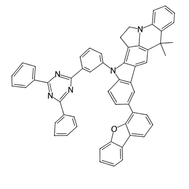 CC1(C)c2ccccc2N2CCc3c2c1cc1c2cc(-c4cccc5c4oc4ccccc45)ccc2n(-c2cccc(-c4nc(-c5ccccc5)nc(-c5ccccc5)n4)c2)c31